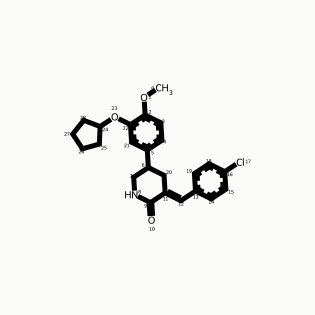 COc1ccc(C2CNC(=O)C(=Cc3ccc(Cl)cc3)C2)cc1OC1CCCC1